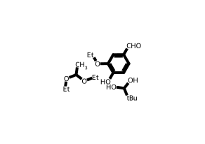 CC(C)(C)C(O)O.CCOC(C)OCC.CCOc1cc(C=O)ccc1O